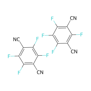 N#Cc1c(F)c(F)c(C#N)c(F)c1F.N#Cc1c(F)c(F)c(F)c(C#N)c1F